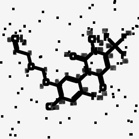 C=CCOCOc1cc(-n2c(=O)cc(C(F)(F)F)n(C)c2=O)c(F)cc1Cl